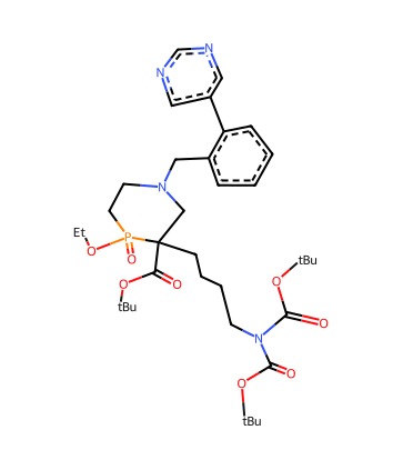 CCOP1(=O)CCN(Cc2ccccc2-c2cncnc2)CC1(CCCCN(C(=O)OC(C)(C)C)C(=O)OC(C)(C)C)C(=O)OC(C)(C)C